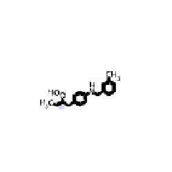 C/C=C(/Cc1ccc(NCc2cccc(C)c2)cc1)OO